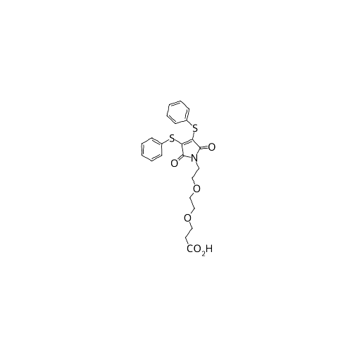 O=C(O)CCOCCOCCN1C(=O)C(Sc2ccccc2)=C(Sc2ccccc2)C1=O